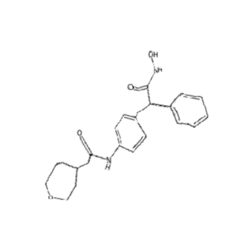 O=C(Nc1ccc(C(C(=O)NO)c2ccccc2)cc1)C1CCOCC1